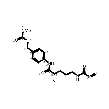 C=NC(=O)NCCC[C@H](C)C(=O)Nc1ccc(COC(=O)NC)cc1